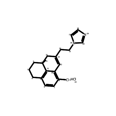 CC12CCCc3ccc(Cl)c(c31)C=C(CCn1ccnc1)C2.Cl